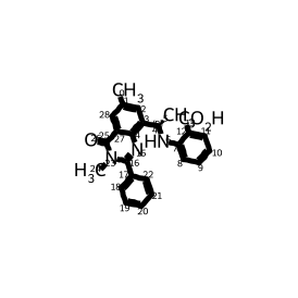 Cc1cc([C@@H](C)Nc2ccccc2C(=O)O)c2nc(-c3ccccc3)n(C)c(=O)c2c1